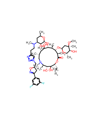 CC[C@H]1OC(=O)[C@H](C)[C@@H](O[C@H]2C[C@@](C)(OC)[C@@H](O)[C@H](C)O2)[C@H](C)[C@@H](O[C@@H]2O[C@H](C)C[C@H](N(C)CCc3cn(CC4CC(c5cc(F)cc(F)c5)=NO4)nn3)[C@H]2O)[C@](C)(O)C[C@@H](C)CN(C)[C@H](C)[C@@H](O)[C@]1(C)O